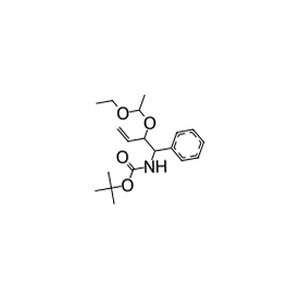 C=CC(OC(C)OCC)C(NC(=O)OC(C)(C)C)c1ccccc1